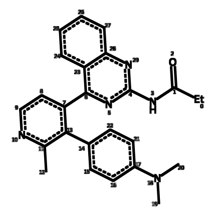 CCC(=O)Nc1nc(-c2ccnc(C)c2-c2ccc(N(C)C)cc2)c2ccccc2n1